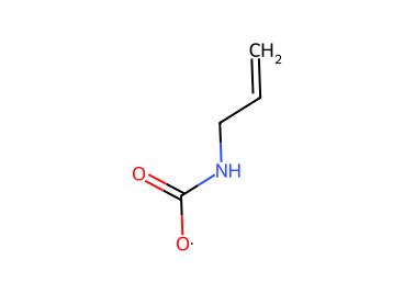 C=CCNC([O])=O